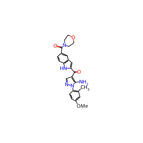 COc1ccc(-n2ncc(C(=O)c3cc4cc(C(=O)N5CCOCC5)ccc4[nH]3)c2N)c(C)c1